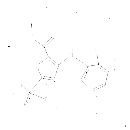 COC(=O)c1sc(C(F)(F)F)nc1Nc1ccccc1Cl